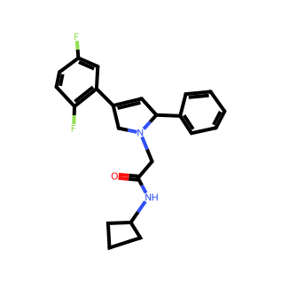 O=C(CN1CC(c2cc(F)ccc2F)=CC1c1ccccc1)NC1CCC1